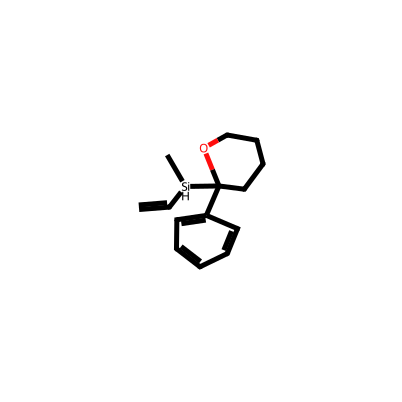 C=C[SiH](C)C1(c2ccccc2)CCCCO1